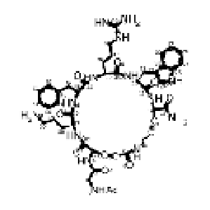 CC(=O)NCC(=O)NC1CCC(=O)NCCCC(C(N)=O)NC(=O)[C@H](Cc2c[nH]c3ccccc23)NC(=O)[C@H](CCCNC(=N)N)NC(=O)C(Cc2ccccc2)NC(=O)[C@H](CCCN)NC1=O